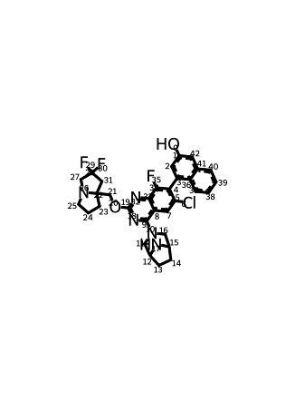 Oc1cc(-c2c(Cl)cc3c(N4CC5CCC(C4)N5)nc(OCC45CCCN4CC(F)(F)C5)nc3c2F)c2ccccc2c1